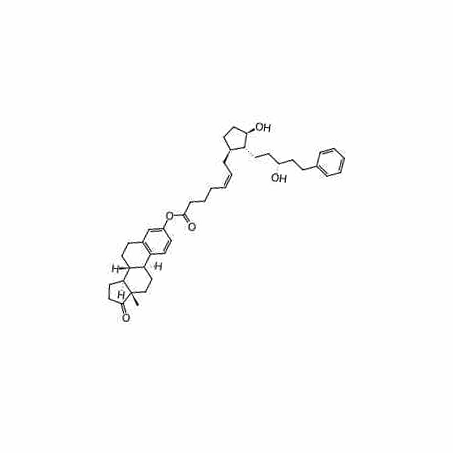 C[C@]12CC[C@@H]3c4ccc(OC(=O)CCC/C=C\C[C@H]5CC[C@@H](O)[C@@H]5CC[C@@H](O)CCc5ccccc5)cc4CC[C@H]3[C@@H]1CCC2=O